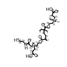 CCC(C)(CCC(C)C(=O)OCC[N+](C)(CCC(=O)O)CC(=O)NCCS)C(=O)OCC[N+](C)(C)CCC(=O)O